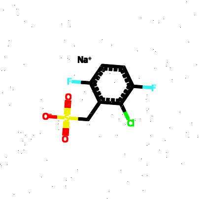 O=S(=O)([O-])Cc1c(F)ccc(F)c1Cl.[Na+]